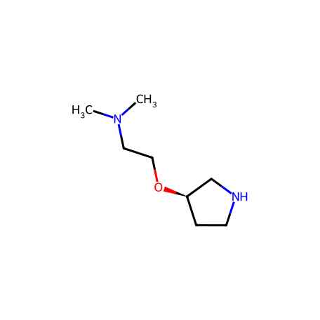 CN(C)CCO[C@@H]1CCNC1